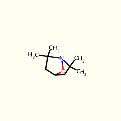 CC1(C)CC2CC(C)(C)N1O2